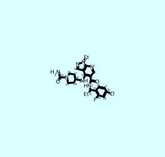 CCC(NC(=O)c1cnc2c(cnn2CC)c1NC1CCN(C(N)=O)CC1)c1ccc(Cl)cc1F